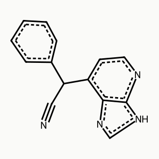 N#CC(c1ccccc1)c1ccnc2[nH]cnc12